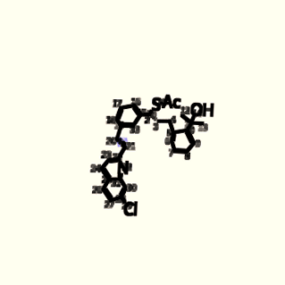 CC(=O)S[C@H](CCc1ccccc1C(C)(C)O)c1cccc(/C=C/c2ccc3ccc(Cl)cc3n2)c1